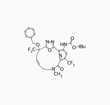 CN1CCC=CCC(OCc2ccccc2)(C(F)(F)F)c2nnc(o2)-c2nc(c(C(F)(F)F)cc2NC(=O)OC(C)(C)C)C1=O